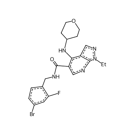 CCn1ncc2c(NC3CCOCC3)c(C(=O)NCc3ccc(Br)cc3F)cnc21